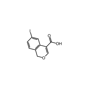 O=C(O)C1=COCc2ccc(I)cc21